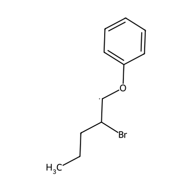 CCCC(Br)[CH]Oc1ccccc1